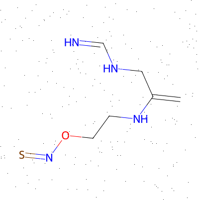 C=C(CNC=N)NCCON=S